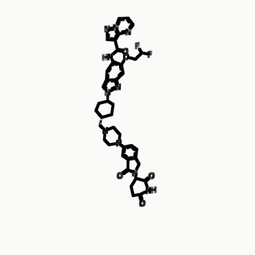 O=C1CCC(N2Cc3ccc(N4CCN(C[C@H]5CC[C@H](n6cc7cc(NC(=O)c8cnn9cccnc89)c(OCC(F)F)cc7n6)CC5)CC4)cc3C2=O)C(=O)N1